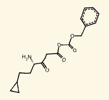 N[C@@H](CCC1CC1)C(=O)CC(=O)OC(=O)OCc1ccccc1